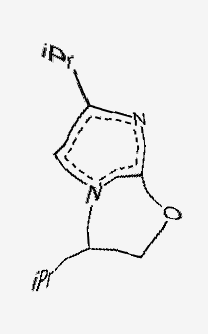 CC(C)c1cn2c(n1)OCC2C(C)C